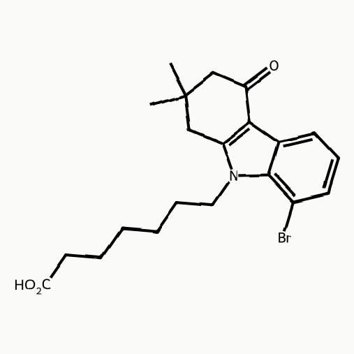 CC1(C)CC(=O)c2c(n(CCCCCCC(=O)O)c3c(Br)cccc23)C1